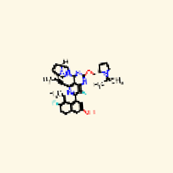 CC#Cc1nc(-c2cc(O)cc3ccc(F)c(CC)c23)c(F)c2nc(OC[C@@H]3CCCN3C(C)C)nc(N3C[C@H]4CC[C@@H](C3)N4)c12